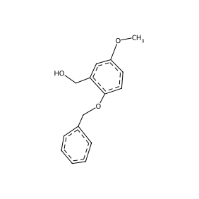 COc1ccc(OCc2ccccc2)c(CO)c1